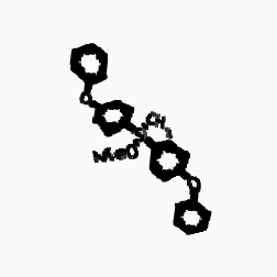 CO[Si](C)(c1ccc(Oc2ccccc2)cc1)c1ccc(Oc2ccccc2)cc1